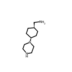 NC[C@H]1CC[C@@H](N2CCNCC2)CC1